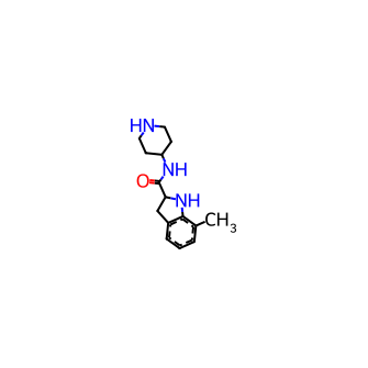 Cc1cccc2c1NC(C(=O)NC1CCNCC1)C2